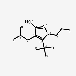 CCCn1nc(O)c(CC(C)C)c1C(C)(C)C